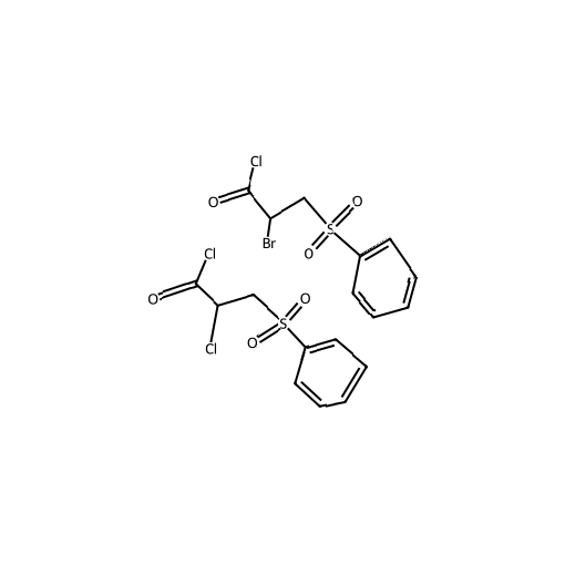 O=C(Cl)C(Br)CS(=O)(=O)c1ccccc1.O=C(Cl)C(Cl)CS(=O)(=O)c1ccccc1